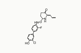 C=C/C=C1\NC(ONc2ccc(-c3ccc(O)c(Cl)c3)cc2F)CCC1=O